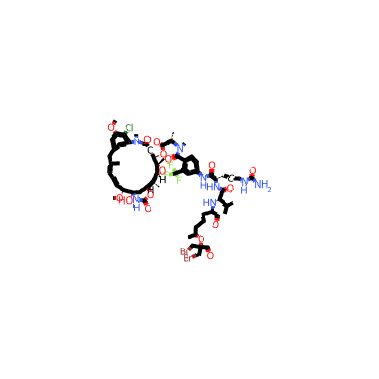 COc1cc2cc(c1Cl)N(C)C(=O)C[C@H](OC(=O)[C@H](C)N(C)C(=O)c1ccc(NC(=O)[C@H](CCCNC(N)=O)NC(=O)[C@@H](NC(C=O)CCCC(C)OC(C=O)(CBr)CBr)C(C)C)cc1C(F)(F)F)[C@]1(C)O[C@H]1[C@H](C)[C@@H]1C[C@@](O)(NC(=O)O1)[C@H](OC)/C=C/C=C(\C)C2